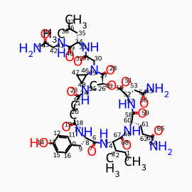 CC[C@H](C)[C@@H]1NC(=O)[C@H](Cc2ccc(O)cc2)NC(=O)CCC(=O)NC[C@@H](C(=O)N(CC(=O)N[C@@H](CC(C)C)C(=O)NCC(N)=O)C2CC2)OC(=O)[C@H](CC(N)=O)NC(=O)[C@H](CCC(N)=O)NC1=O